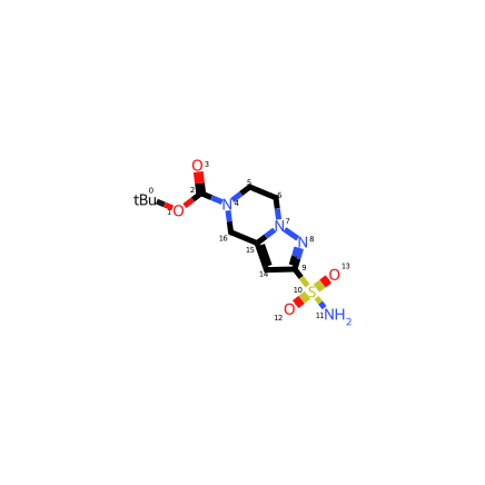 CC(C)(C)OC(=O)N1CCn2nc(S(N)(=O)=O)cc2C1